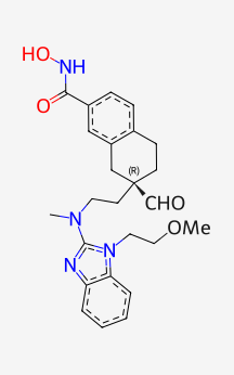 COCCn1c(N(C)CC[C@@]2(C=O)CCc3ccc(C(=O)NO)cc3C2)nc2ccccc21